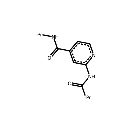 CC(C)NC(=O)c1ccnc(NC(=O)C(C)C)c1